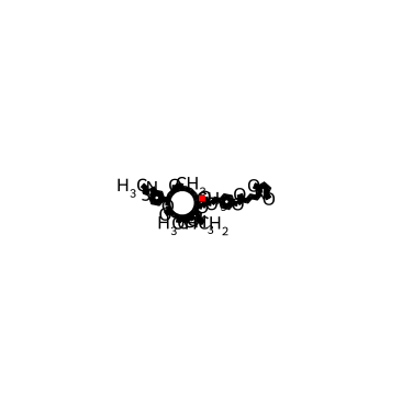 C=CCC1C(=O)C(C)(C)C(O)CC(=O)OC(c2ccc3sc(C)nc3c2)CC2OC2(C)CCCC(C)C1OC(=O)OCc1ccc(OC(=O)CCCN2C(=O)C=CC2=O)cc1